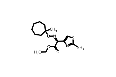 CCOC(=O)C(=NOC1(C)CCCCCC1)c1csc(N)n1